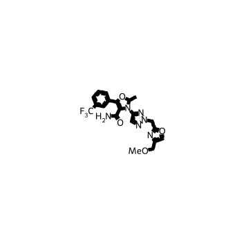 COCc1coc(Cn2ncc(N3C(C(N)=O)=C(c4cccc(C(F)(F)F)c4)OC3C)n2)n1